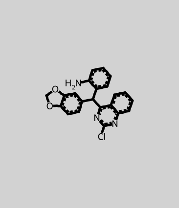 Nc1ccccc1C(c1ccc2c(c1)OCO2)c1nc(Cl)nc2ccccc12